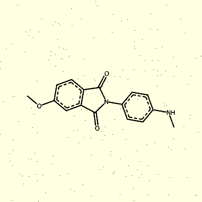 CNc1ccc(N2C(=O)c3ccc(OC)cc3C2=O)cc1